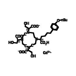 CCCCOc1ccc(CCCC[C@@H](C(=O)O)N2CCN([C@@H](CO)C(=O)[O-])CCN([C@@H](CO)C(=O)[O-])CCN([C@@H](CO)C(=O)[O-])CC2)cc1.[Gd+3]